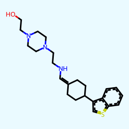 OCCN1CCN(CCNC=C2CCC(c3csc4ccccc34)CC2)CC1